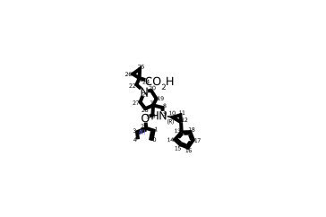 C=C/C(=C\C)OCC1(CN[C@@H]2CC2c2ccccc2)CCN(CC2(C(=O)O)CC2)CC1